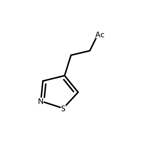 CC(=O)CCc1cnsc1